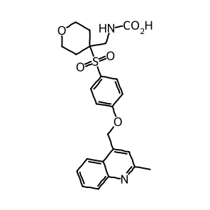 Cc1cc(COc2ccc(S(=O)(=O)C3(CNC(=O)O)CCOCC3)cc2)c2ccccc2n1